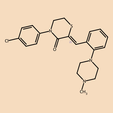 CN1CCN(c2ccccc2/C=C2\SCCN(c3ccc(Cl)cc3)C2=O)CC1